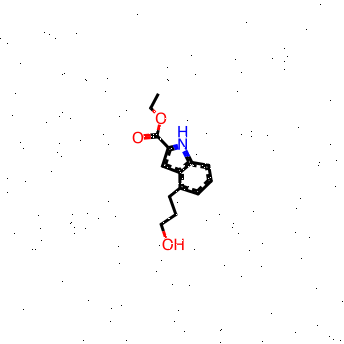 CCOC(=O)c1cc2c(CCCO)cccc2[nH]1